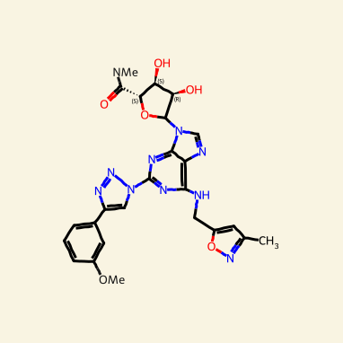 CNC(=O)[C@H]1OC(n2cnc3c(NCc4cc(C)no4)nc(-n4cc(-c5cccc(OC)c5)nn4)nc32)[C@H](O)[C@@H]1O